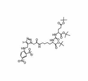 CC(C)(C)OC(=O)CCC(NC(=O)NC(CCCCNC(=O)Cn1nnc(I)c1CNc1ccc([N+](=O)[O-])cc1[N+](=O)[O-])C(=O)OC(C)(C)C)C(=O)OC(C)(C)C